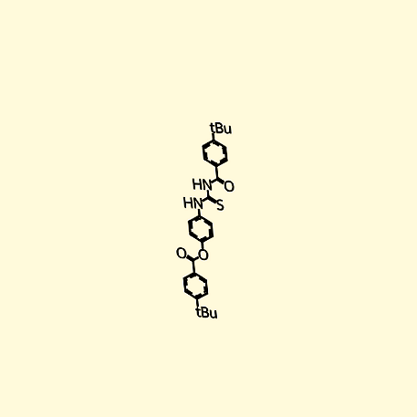 CC(C)(C)c1ccc(C(=O)NC(=S)Nc2ccc(OC(=O)c3ccc(C(C)(C)C)cc3)cc2)cc1